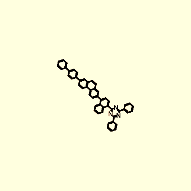 c1ccc(-c2ccc(-c3ccc4c(ccc5cc(-c6ccc(-c7nc(-c8ccccc8)nc(-c8ccccc8)n7)c7ccccc67)ccc54)c3)cc2)cc1